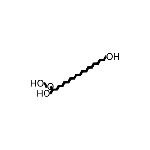 OCCCCCCCCCCCCCCCCCCC(CO)OCCO